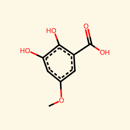 COc1cc(O)c(O)c(C(=O)O)c1